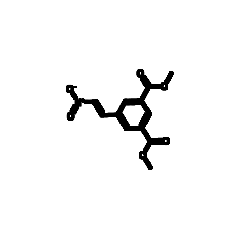 COC(=O)c1cc(C=C[N+](=O)[O-])cc(C(=O)OC)c1